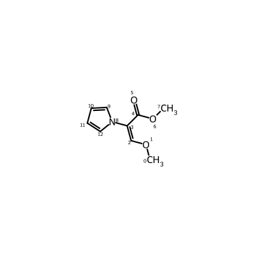 COC=C(C(=O)OC)n1cccc1